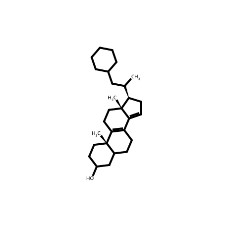 CC(CC1CCCCC1)[C@H]1CC=C2C3=C(CC[C@@]21C)[C@@]1(C)CCC(O)CC1CC3